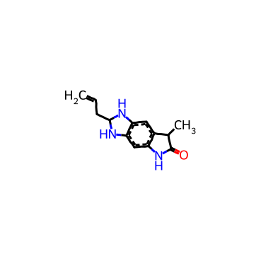 C=CCC1Nc2cc3c(cc2N1)C(C)C(=O)N3